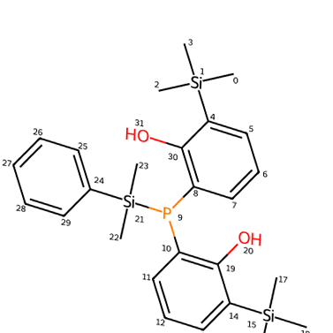 C[Si](C)(C)c1cccc(P(c2cccc([Si](C)(C)C)c2O)[Si](C)(C)c2ccccc2)c1O